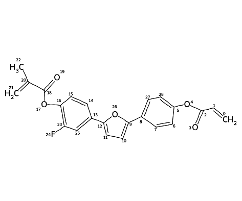 C=CC(=O)Oc1ccc(-c2ccc(-c3ccc(OC(=O)C(=C)C)c(F)c3)o2)cc1